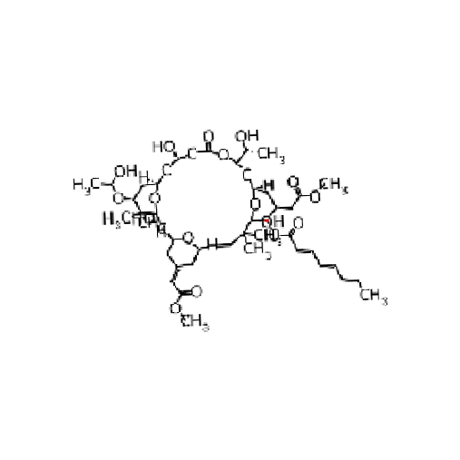 CCC/C=C/C=C/C(=O)OC1C(CC(=O)OC)C[C@H]2C[C@H]([C@@H](C)O)OC(=O)C[C@H](O)C[C@@H]3C[C@H](OC(C)O)C(C)(C)[C@](O)(C[C@@H]4C/C(=C/C(=O)OC)C[C@H](/C=C/C(C)(C)C1(O)O2)O4)O3